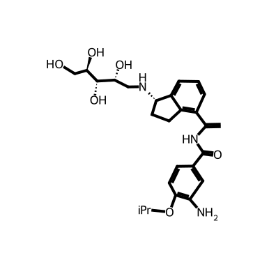 C=C(NC(=O)c1ccc(OC(C)C)c(N)c1)c1cccc2c1CC[C@@H]2NC[C@@H](O)[C@H](O)[C@H](O)CO